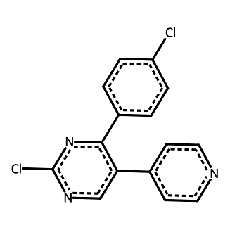 Clc1ccc(-c2nc(Cl)ncc2-c2ccncc2)cc1